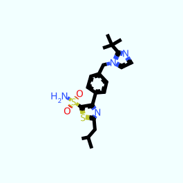 CC(C)Cc1nc(-c2ccc(Cn3ccnc3C(C)(C)C)cc2)c(S(N)(=O)=O)s1